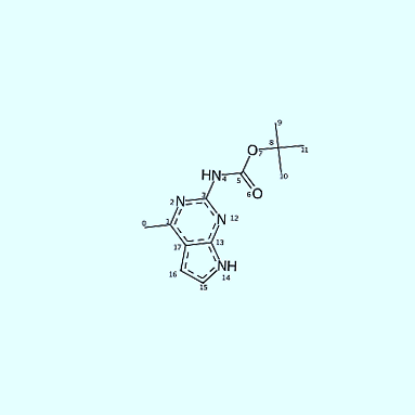 Cc1nc(NC(=O)OC(C)(C)C)nc2[nH]ccc12